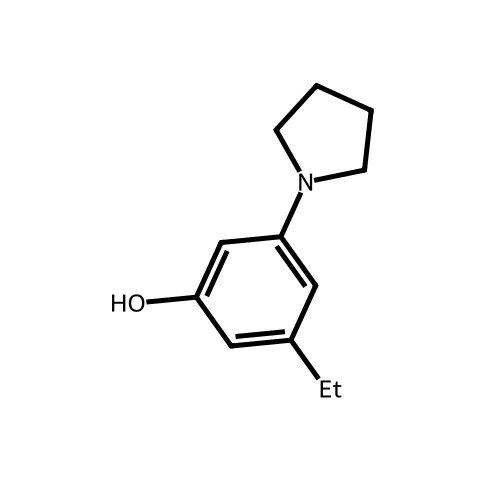 CCc1cc(O)cc(N2CCCC2)c1